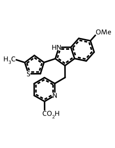 COc1ccc2c(Cc3cccc(C(=O)O)n3)c(-c3csc(C)c3)[nH]c2c1